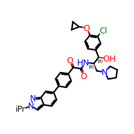 CC(C)n1cc2ccc(-c3ccc(C(=O)C(=O)N[C@H](CN4CCCC4)[C@H](O)c4ccc(OC5CC5)c(Cl)c4)cc3)cc2n1